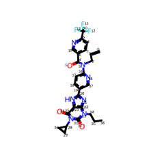 C=CCN(C(=O)c1ccc(C(F)(F)F)nc1)c1ccc(-c2nc3c([nH]2)c(=O)n(C2CC2)c(=O)n3CCC)cn1